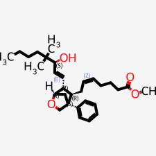 CCCCC(C)(C)[C@@H](O)/C=C/[C@@H]1[C@@H](C/C=C\CCCC(=O)OC)[C@@]2(c3ccccc3)CO[C@@H]1C2